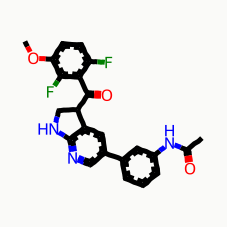 COc1ccc(F)c(C(=O)C2CNc3ncc(-c4cccc(NC(C)=O)c4)cc32)c1F